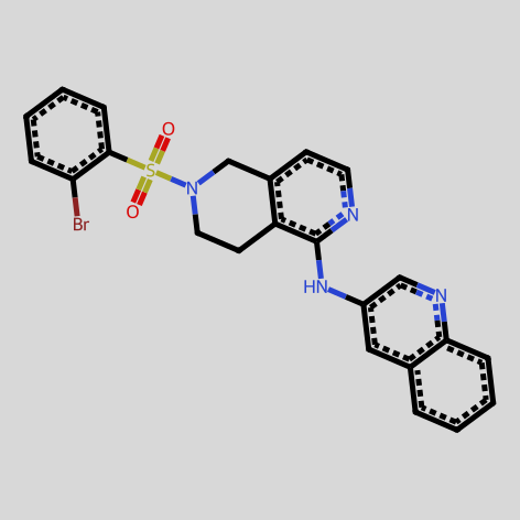 O=S(=O)(c1ccccc1Br)N1CCc2c(ccnc2Nc2cnc3ccccc3c2)C1